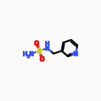 NS(=O)(=O)NCc1cccnc1